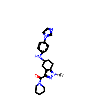 CCCn1nc(C(=O)N2CCCCC2)c2c1CCC(Nc1ccc(-n3ccnc3)cc1)C2